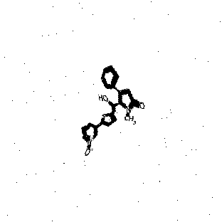 CN1C(=O)C[C@H](c2ccccc2)[C@@H]1C(O)c1ccc(-c2ccc[n+]([O-])c2)s1